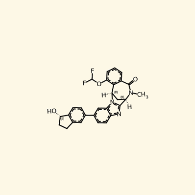 CN1C(=O)c2cccc(OC(F)F)c2[C@H]2C[C@@H]1c1nc3ccc(-c4ccc5c(c4)CC[C@@H]5O)cc3n12